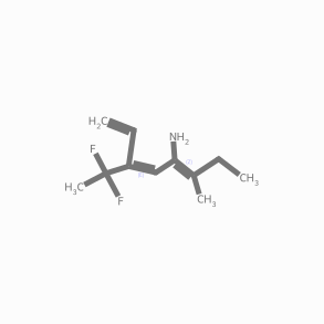 C=C/C(=C\C(N)=C(/C)CC)C(C)(F)F